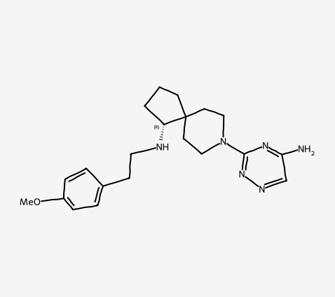 COc1ccc(CCN[C@@H]2CCCC23CCN(c2nncc(N)n2)CC3)cc1